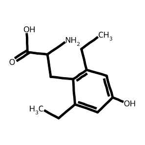 CCc1cc(O)cc(CC)c1CC(N)C(=O)O